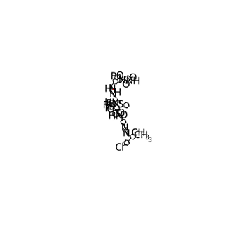 CC1(C)CCC(c2ccc(Cl)cc2)=C(CN2CCN(c3ccc(C(=O)NS(=O)(=O)c4ccc(N[C@H](CCN5C[C@@H]6C[C@H]5CN6Cc5cc(Br)c6c(c5)CN(C5CCC(=O)NC5=O)C6=O)CSc5ccccc5)c(S(=O)(=O)C(F)(F)F)c4)cc3)CC2)C1